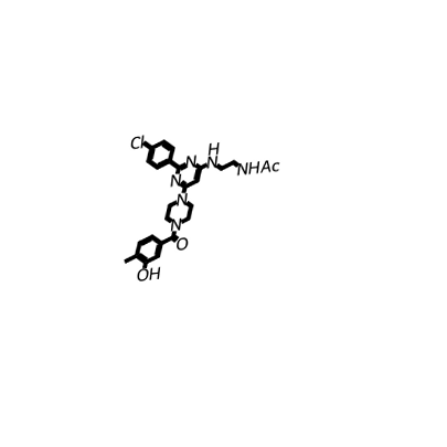 CC(=O)NCCNc1cc(N2CCN(C(=O)c3ccc(C)c(O)c3)CC2)nc(-c2ccc(Cl)cc2)n1